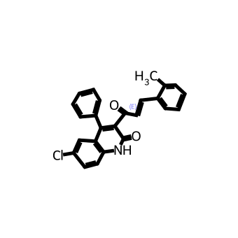 Cc1ccccc1/C=C/C(=O)c1c(-c2ccccc2)c2cc(Cl)ccc2[nH]c1=O